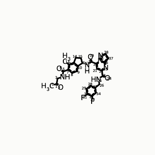 CC(=O)CNC(=O)c1ccc2c(c1C)CC[C@@H]2NC(=O)c1cc(C(=O)NCc2ccc(F)c(F)c2)nc2ccnn12